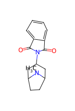 CN1C2CCC1CC(N1C(=O)c3ccccc3C1=O)C2